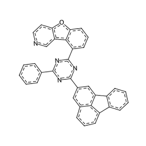 c1ccc(-c2nc(-c3cc4c5c(cccc5c3)-c3ccccc3-4)nc(-c3cccc4oc5ccncc5c34)n2)cc1